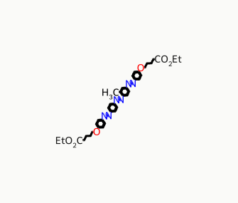 CCOC(=O)CCCCOc1ccc(/N=N/c2ccc(/N=N/c3ccc(/N=N/c4ccc(OCCCCC(=O)OCC)cc4)cc3C)cc2)cc1